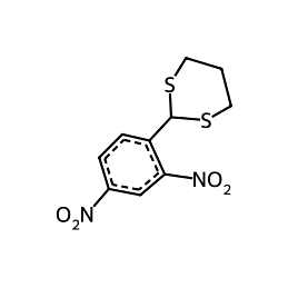 O=[N+]([O-])c1ccc(C2SCCCS2)c([N+](=O)[O-])c1